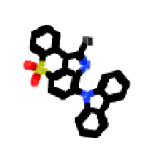 CCC1=Nc2c(-n3c4ccccc4c4ccccc43)ccc3c2C1c1ccccc1S3(=O)=O